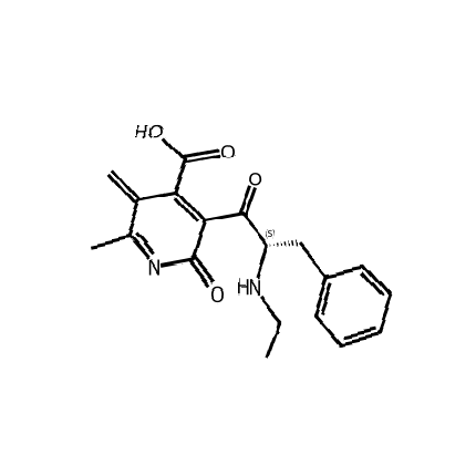 C=C1C(C)=NC(=O)C(C(=O)[C@H](Cc2ccccc2)NCC)=C1C(=O)O